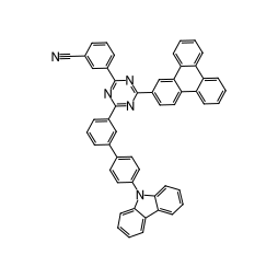 N#Cc1cccc(-c2nc(-c3cccc(-c4ccc(-n5c6ccccc6c6ccccc65)cc4)c3)nc(-c3ccc4c5ccccc5c5ccccc5c4c3)n2)c1